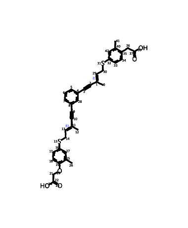 C/C(C#Cc1cccc(C#C/C(C)=C/CSc2ccc(OCC(=O)O)c(C)c2)c1)=C\CSc1ccc(CC(=O)O)c(C)c1